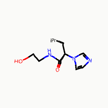 CC(C)CC(C(=O)NCCO)n1ccnc1